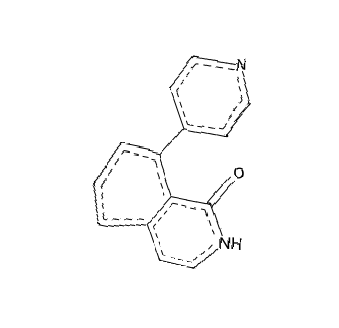 O=c1[nH]ccc2cccc(-c3ccncc3)c12